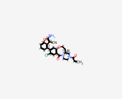 C=CC(=O)N1CCN2C(=O)c3cc(Cl)c(-c4cccc5oc(N)c(C#N)c45)cc3OCC[C@H]2C1